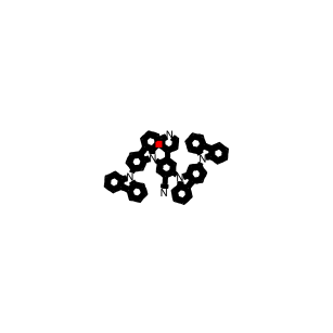 N#Cc1cc(-n2c3ccccc3c3ccc(-n4c5ccccc5c5ccccc54)cc32)c(-c2ccncc2)cc1-n1c2ccccc2c2ccc(-n3c4ccccc4c4ccccc43)cc21